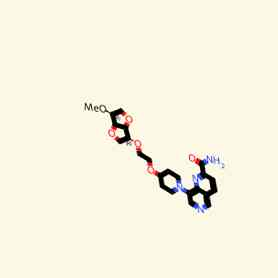 CO[C@@H]1COC2C1OC[C@H]2OCCOC1CCN(c2cncc3ccc(C(N)=O)nc23)CC1